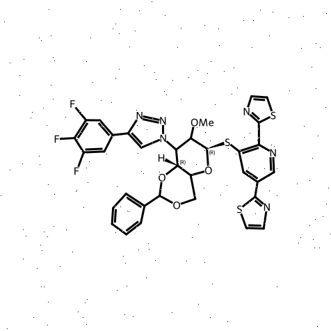 COC1C(n2cc(-c3cc(F)c(F)c(F)c3)nn2)[C@H]2OC(c3ccccc3)OCC2O[C@@H]1Sc1cc(-c2nccs2)cnc1-c1nccs1